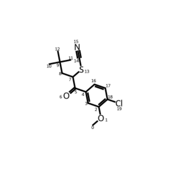 COc1cc(C(=O)C(CC(C)(C)C)SC#N)ccc1Cl